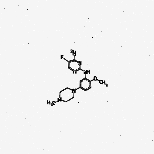 [2H]c1nc(Nc2cc(N3CCN(C)CC3)ccc2OC)ncc1F